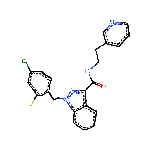 O=C(NCCc1cccnc1)c1nn(Cc2ccc(Cl)cc2F)c2ccccc12